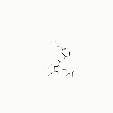 Cc1c(C(C)(F)F)nn(CC2(C)CC2C(F)(F)F)c1C(=O)Nc1ccnc(S(N)(=O)=O)c1